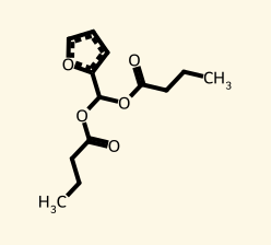 CCCC(=O)OC(OC(=O)CCC)c1ccco1